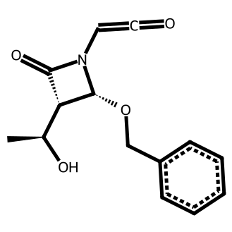 C[C@H](O)[C@@H]1C(=O)N(C=C=O)[C@@H]1OCc1ccccc1